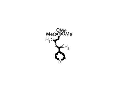 C[O][Ti]([CH2]C(C)SC(C)c1ccncc1)([O]C)[O]C